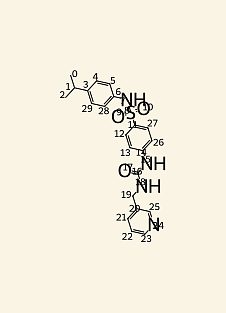 CC(C)c1ccc(NS(=O)(=O)c2ccc(NC(=O)NCc3cccnc3)cc2)cc1